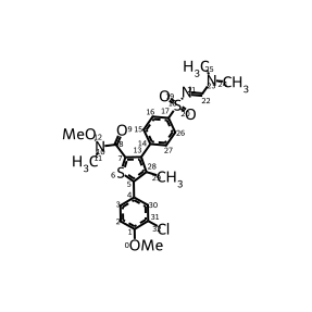 COc1ccc(-c2sc(C(=O)N(C)OC)c(-c3ccc(S(=O)(=O)/N=C/N(C)C)cc3)c2C)cc1Cl